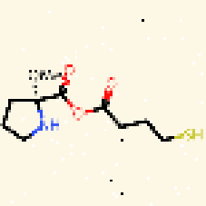 CO[C@@]1(C(=O)OC(=O)CCCS)CCCN1